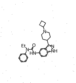 CCN(C(=O)Nc1ccc2[nH]nc(C3CCN(C4CCC4)CC3)c2c1)c1ccccc1